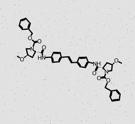 CO[C@@H]1C[C@@H](C(=O)Nc2ccc(/C=C/c3ccc(NC(=O)[C@@H]4C[C@@H](OC)CN4C(=O)OCc4ccccc4)cc3)cc2)N(C(=O)OCc2ccccc2)C1